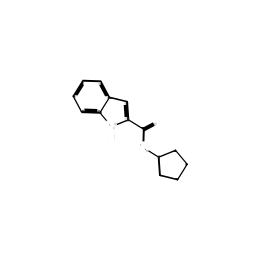 O=C(NC1CCCC1)c1cc2ccccc2[nH]1